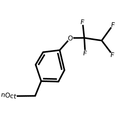 CCCCCCCCCc1ccc(OC(F)(F)C(F)F)cc1